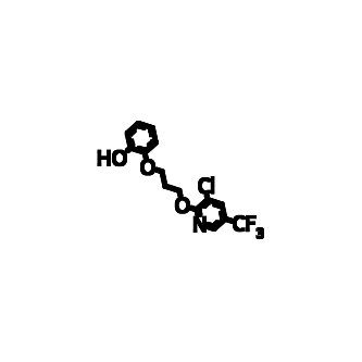 Oc1ccccc1OCCCOc1ncc(C(F)(F)F)cc1Cl